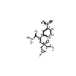 CNC(=O)C1=CC(COC)(COC)Oc2ccc([N+](=O)[O-])cc21